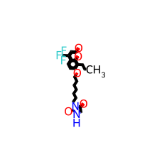 CCCc1c(OCCCCCCCN2C(=O)CNC2=O)ccc2c(C(F)(F)F)cc(=O)oc12